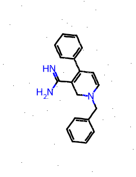 N=C(N)C1=C(c2ccccc2)C=CN(Cc2ccccc2)C1